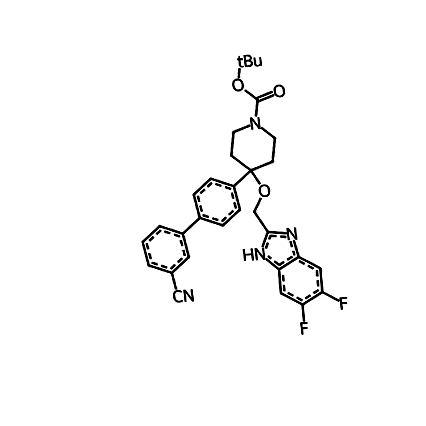 CC(C)(C)OC(=O)N1CCC(OCc2nc3cc(F)c(F)cc3[nH]2)(c2ccc(-c3cccc(C#N)c3)cc2)CC1